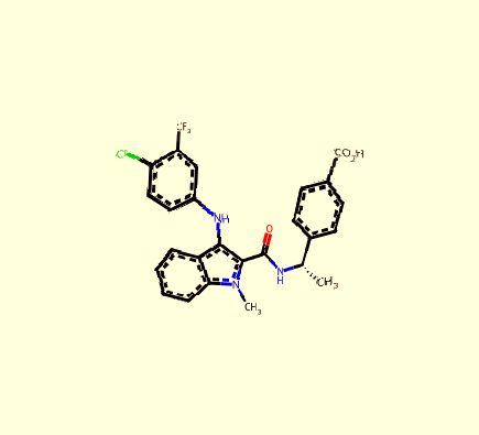 C[C@H](NC(=O)c1c(Nc2ccc(Cl)c(C(F)(F)F)c2)c2ccccc2n1C)c1ccc(C(=O)O)cc1